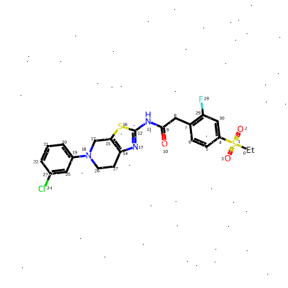 CCS(=O)(=O)c1ccc(CC(=O)Nc2nc3c(s2)CN(c2cccc(Cl)c2)CC3)c(F)c1